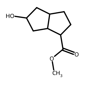 COC(=O)C1CCC2CC(O)CC21